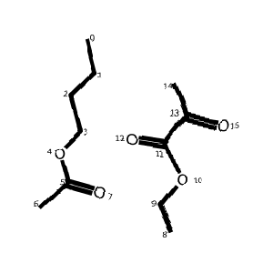 CCCCOC(C)=O.CCOC(=O)C(C)=O